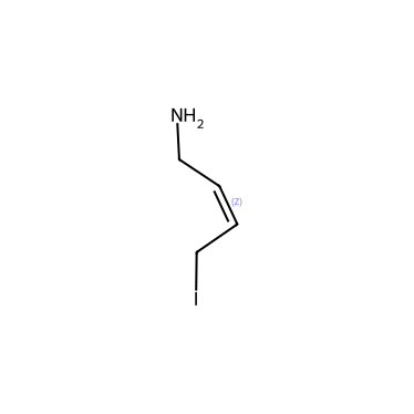 NC/C=C\CI